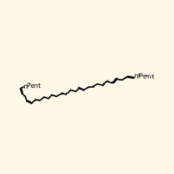 CCCCCC=CCC=CCCCCCCCC[CH]CCCCCCCC/C=C\C/C=C\CCCCC